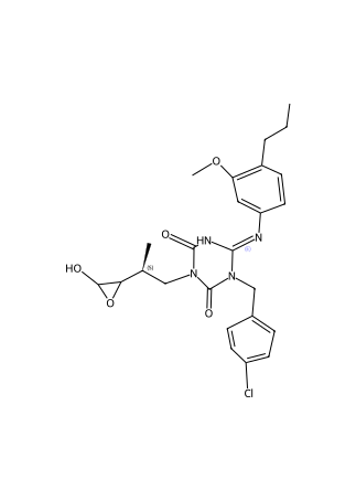 CCCc1ccc(/N=c2\[nH]c(=O)n(C[C@H](C)C3OC3O)c(=O)n2Cc2ccc(Cl)cc2)cc1OC